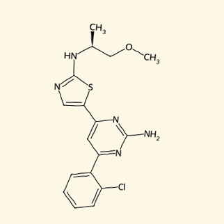 COC[C@H](C)Nc1ncc(-c2cc(-c3ccccc3Cl)nc(N)n2)s1